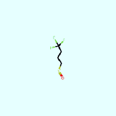 O=[S+]CCCC(F)(F)F